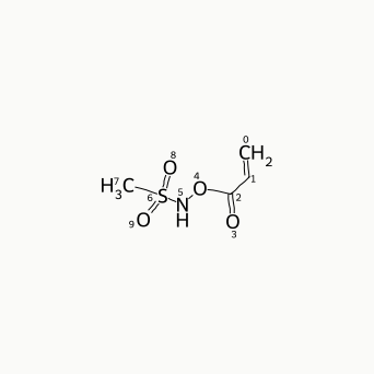 C=CC(=O)ONS(C)(=O)=O